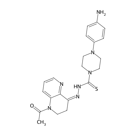 CC(=O)N1CC/C(=N/NC(=S)N2CCN(c3ccc(N)cc3)CC2)c2ncccc21